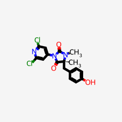 CN1C(=O)N(c2cc(Cl)nc(Cl)c2)C(=O)[C@]1(C)Cc1ccc(O)cc1